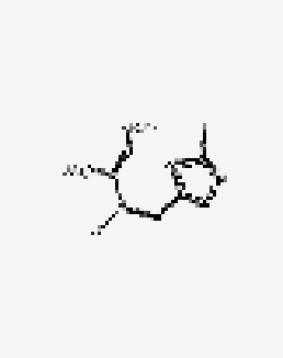 CCN(Cc1cnc(I)s1)C(=C[N+](=O)[O-])NC